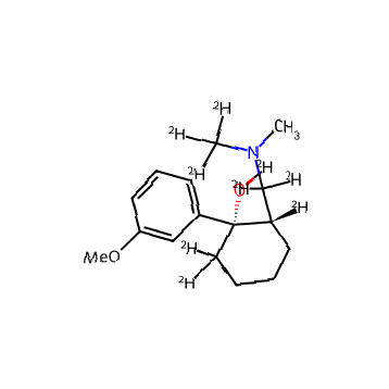 [2H]O[C@@]1(c2cccc(OC)c2)C([2H])([2H])CCC[C@@]1([2H])C([2H])([2H])N(C)C([2H])([2H])[2H]